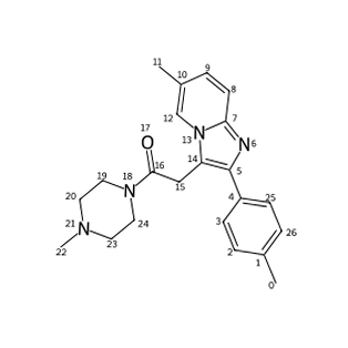 Cc1ccc(-c2nc3ccc(C)cn3c2CC(=O)N2CCN(C)CC2)cc1